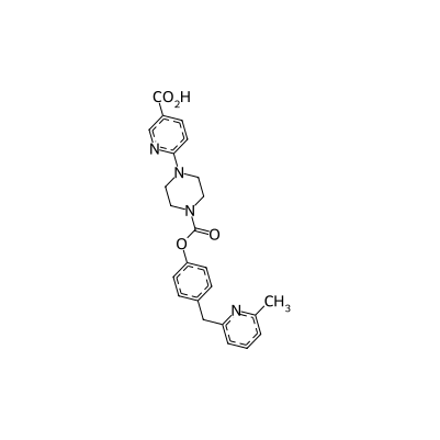 Cc1cccc(Cc2ccc(OC(=O)N3CCN(c4ccc(C(=O)O)cn4)CC3)cc2)n1